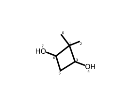 CC1(C)C(O)CC1O